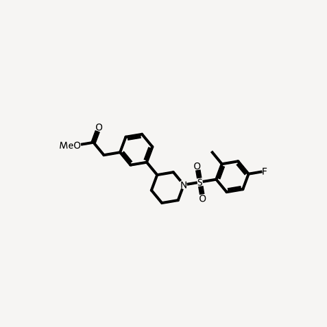 COC(=O)Cc1cccc(C2CCCN(S(=O)(=O)c3ccc(F)cc3C)C2)c1